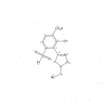 CCS(=O)(=O)c1ccc(C(=O)O)c(Cl)c1C1=NOC(CC#N)C1